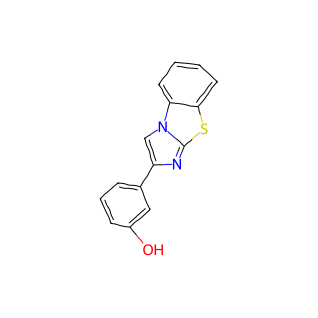 Oc1cccc(-c2cn3c(n2)sc2ccccc23)c1